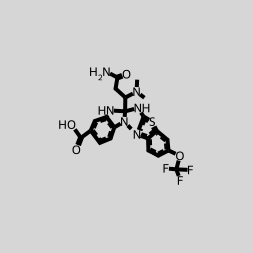 CN(C)C(CC(N)=O)C1(Nc2nc3ccc(OC(F)(F)F)cc3s2)Nc2cc(C(=O)O)ccc2N1C